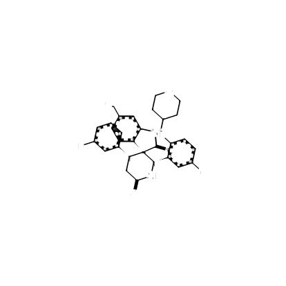 O=C1C[C@@H](c2cccc(F)c2)[C@]2(C(=O)Nc3cc(Cl)ccc32)[C@@H](c2cc(Cl)ccc2OC2CCOCC2)N1